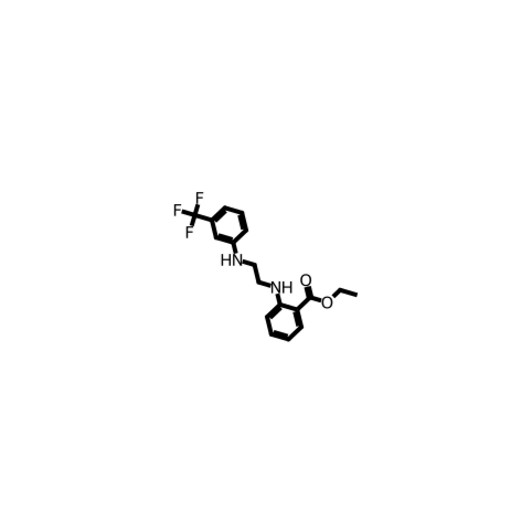 CCOC(=O)c1ccccc1NCCNc1cccc(C(F)(F)F)c1